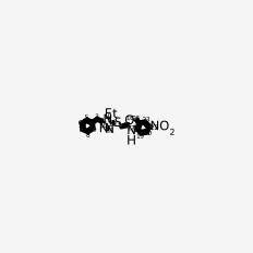 CCn1c(Cc2ccccc2)nnc1SCC(=O)Nc1ccc([N+](=O)[O-])cc1C